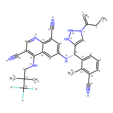 C=C(CC)N1C=C([C@@H](Nc2cc(C#N)c3ncc(C#N)c(NCC(C)(C)C(F)(F)F)c3c2)c2cccc(C#N)c2C)NN1